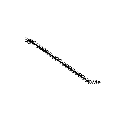 CCC(C)C(=O)OCCCOCCCOCCCOCCCOCCCOCCCOCCCOCCCOCCCOCCCOCCCOCCCOCCCOCCCOCCCOCCCOCCCOCCCOC